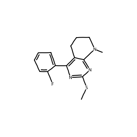 CSc1nc(-c2ccccc2F)c2c(n1)N(C)CCC2